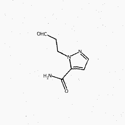 NC(=O)c1ccnn1CCC=O